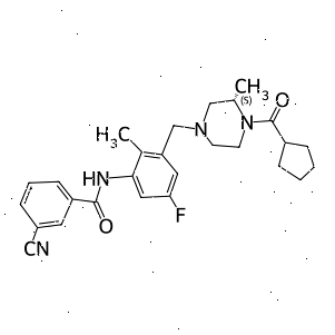 Cc1c(CN2CCN(C(=O)C3CCCC3)[C@@H](C)C2)cc(F)cc1NC(=O)c1cccc(C#N)c1